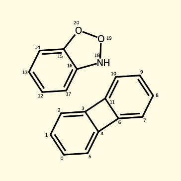 c1ccc2c(c1)-c1ccccc1-2.c1ccc2c(c1)NOO2